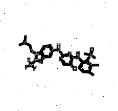 Cc1ccc(Nc2nc(Nc3ccc4c(c3)nc(C(F)(F)F)n4CCN(C)C)ncc2Cl)c(P(C)(C)=O)c1C